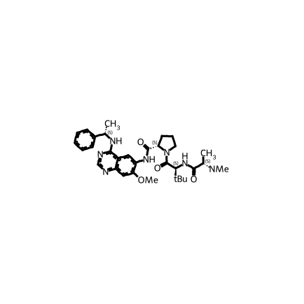 CN[C@@H](C)C(=O)N[C@H](C(=O)N1CCC[C@H]1C(=O)Nc1cc2c(N[C@@H](C)c3ccccc3)ncnc2cc1OC)C(C)(C)C